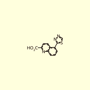 O=C(O)c1ccc2c(-c3nncs3)cccc2n1